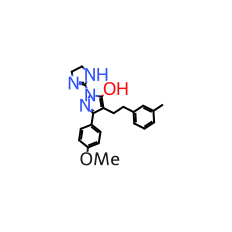 COc1ccc(-c2nn(C3=NCCN3)c(O)c2CCc2cccc(C)c2)cc1